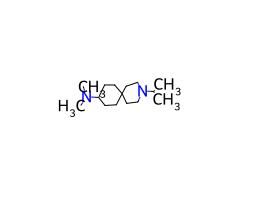 CC(C)N1CCC2(CCC(N(C)C)CC2)CC1